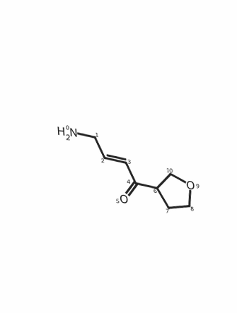 NCC=CC(=O)C1CCOC1